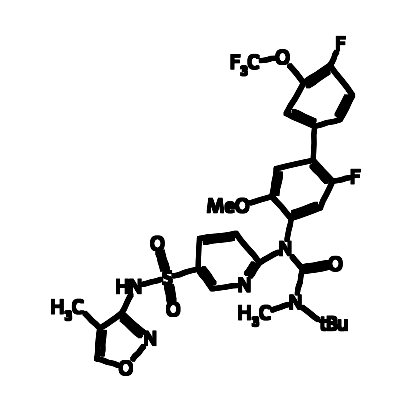 COc1cc(-c2ccc(F)c(OC(F)(F)F)c2)c(F)cc1N(C(=O)N(C)C(C)(C)C)c1ccc(S(=O)(=O)Nc2nocc2C)cn1